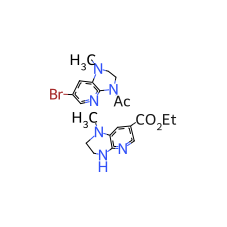 CC(=O)N1CCN(C)c2cc(Br)cnc21.CCOC(=O)c1cnc2c(c1)N(C)CCN2